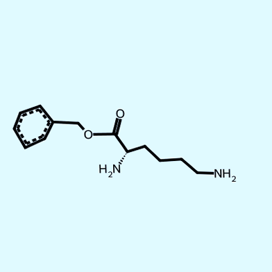 NCCCC[C@H](N)C(=O)OCc1ccccc1